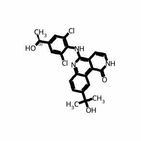 C[C@H](O)c1cc(Cl)c(Nc2nc3ccc(C(C)(C)O)cc3c3c(=O)[nH]ccc23)c(Cl)c1